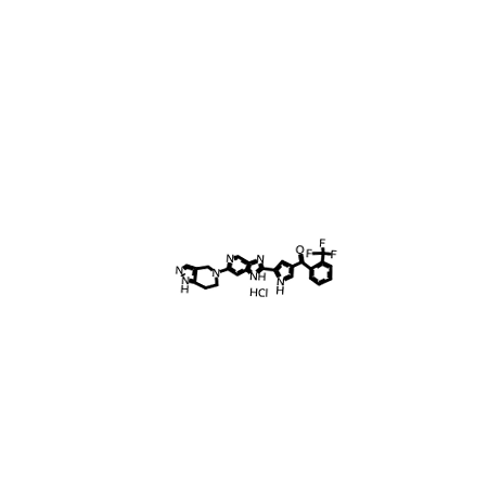 Cl.O=C(c1c[nH]c(-c2nc3cnc(N4CCc5[nH]ncc5C4)cc3[nH]2)c1)c1ccccc1C(F)(F)F